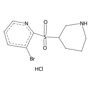 Cl.O=S(=O)(c1ncccc1Br)C1CCCNC1